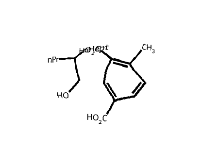 CCCCCCCC(CO)CCC.Cc1ccc(C(=O)O)cc1C(=O)O